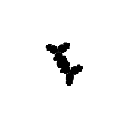 Cc1cc(N(c2ccc(C(C)(C)C)cc2)c2ccc(C(C)(C)C)cc2)cc2c1-c1ccc3c(c1C2(C)C)C(C)(C)c1cc(N(c2ccc(C(C)(C)C)cc2)c2ccc(C(C)(C)C)cc2)cc(C)c1-3